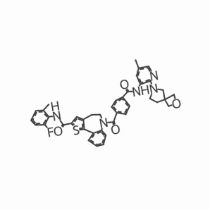 Cc1cnc(N2CCC3(COC3)C2)c(NC(=O)c2ccc(C(=O)N3CCc4cc(C(=O)Nc5c(C)cccc5F)sc4-c4ccccc43)cc2)c1